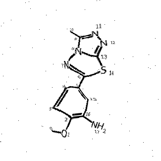 COc1ccc(-c2nn3c(C)nnc3s2)cc1N